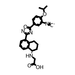 [C-]#[N+]c1cc(-c2nc(-c3cccc4c3CCC[C@@H]4NCC(=O)O)no2)ccc1OC(C)C